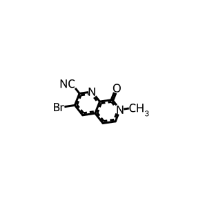 Cn1ccc2cc(Br)c(C#N)nc2c1=O